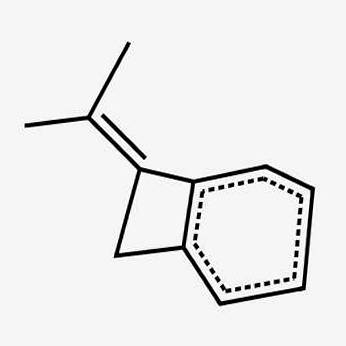 CC(C)=C1Cc2ccccc21